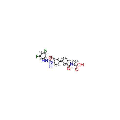 CC(C)[C@@](C)(C(=O)O)N1Cc2ccc(-c3ccc(NC(=O)Nc4cc(F)cc(F)c4)cc3)cc2C1=O